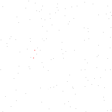 CC1(C)c2ccccc2-c2ccc(-c3ccc(N(c4ccc(-c5ccc6c(c5)C(C)(C)c5ccccc5-6)cc4)c4ccc(-c5ccccc5)cc4-c4ccccc4)cc3)cc21